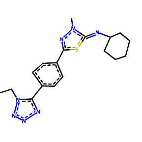 CCn1nnnc1-c1ccc(-c2nn(C)/c(=N/C3CCCCC3)s2)cc1